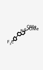 COC(CSc1ccc2cc(-c3ccc(C(F)(F)F)cc3)ccc2n1)OC